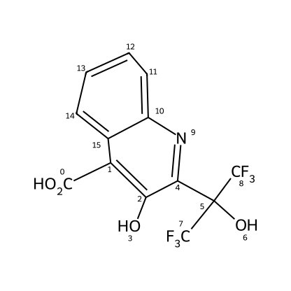 O=C(O)c1c(O)c(C(O)(C(F)(F)F)C(F)(F)F)nc2ccccc12